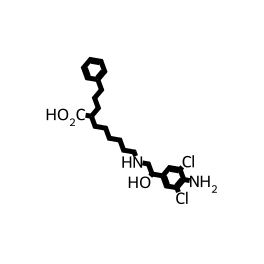 Nc1c(Cl)cc(C(O)CNCCCCCCC(CCCc2ccccc2)C(=O)O)cc1Cl